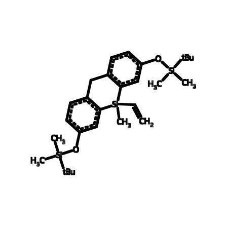 C=C[Si]1(C)c2cc(O[Si](C)(C)C(C)(C)C)ccc2Cc2ccc(O[Si](C)(C)C(C)(C)C)cc21